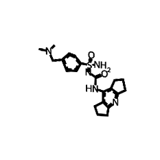 CN(C)Cc1ccc([S@](N)(=O)=NC(=O)Nc2c3c(nc4c2CCC4)CCC3)cc1